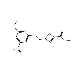 COC(=O)C1=C[C@@H](COc2cc(OC)cc([N+](=O)[O-])c2)C1